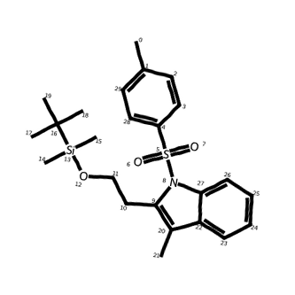 Cc1ccc(S(=O)(=O)n2c(CCO[Si](C)(C)C(C)(C)C)c(C)c3ccccc32)cc1